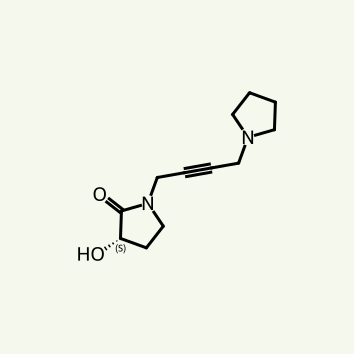 O=C1[C@@H](O)CCN1CC#CCN1CCCC1